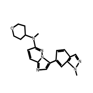 CN(c1ccc2ncc(-c3ccc4cnn(C)c4c3)n2n1)C1CCOCC1